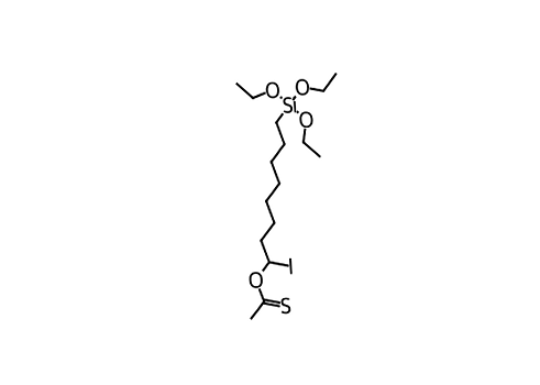 CCO[Si](CCCCCCCC(I)OC(C)=S)(OCC)OCC